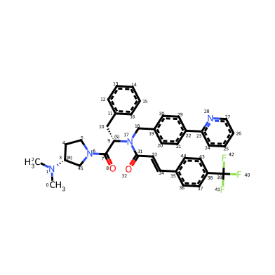 CN(C)[C@@H]1CCN(C(=O)[C@H](Cc2ccccc2)N(Cc2ccc(-c3ccccn3)cc2)C(=O)C=Cc2ccc(C(F)(F)F)cc2)C1